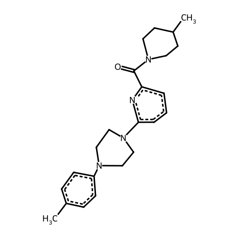 Cc1ccc(N2CCN(c3cccc(C(=O)N4CCC(C)CC4)n3)CC2)cc1